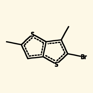 Cc1cc2sc(Br)c(C)c2s1